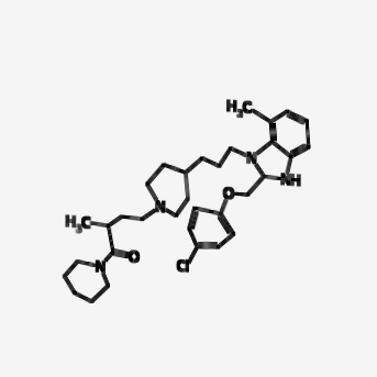 Cc1cccc2c1N(CCCC1CCN(CCC(C)C(=O)N3CCCCC3)CC1)C(COc1ccc(Cl)cc1)N2